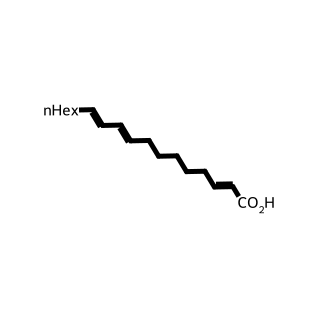 CCCCCCC=CC=CCCCCCC=CC(=O)O